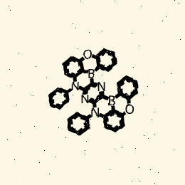 c1ccc(N2c3cccc4c3B(c3ccccc3O4)c3nc4c(nc32)N(c2ccccc2)c2cccc3c2B4c2ccccc2O3)cc1